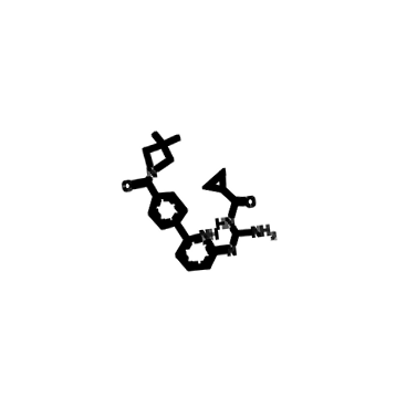 CC1(C)CN(C(=O)c2ccc(-c3ccc/c(=N/C(N)NC(=O)C4CC4)[nH]3)cc2)C1